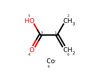 C=C(C)C(=O)O.[Co]